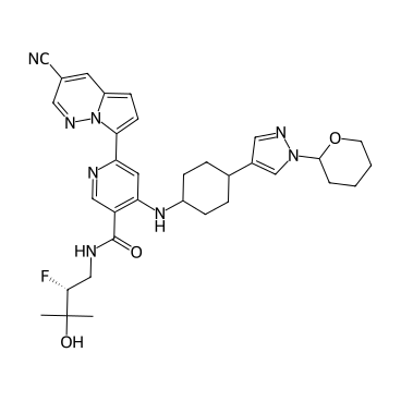 CC(C)(O)[C@H](F)CNC(=O)c1cnc(-c2ccc3cc(C#N)cnn23)cc1NC1CCC(c2cnn(C3CCCCO3)c2)CC1